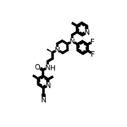 Cc1ccncc1CN(c1ccc(F)c(F)c1)C1CCN([C@H](C)CCNC(=O)c2c(C)cc(C#N)nc2C)CC1